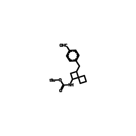 CC(C)(C)OC(=O)NC1CC(Cc2ccc(C=O)cc2)C12CCC2